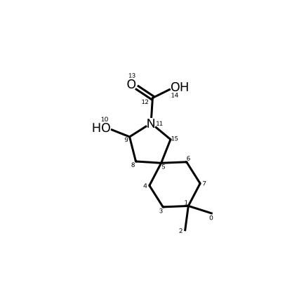 CC1(C)CCC2(CC1)CC(O)N(C(=O)O)C2